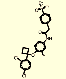 CCS(=O)(=O)c1ccc(CC(=O)Nc2ccc(OC3(c4ccc(Cl)cc4Cl)CCC3)c(F)c2)cc1